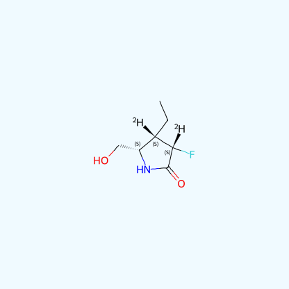 [2H][C@]1(CC)[C@@H](CO)NC(=O)[C@@]1([2H])F